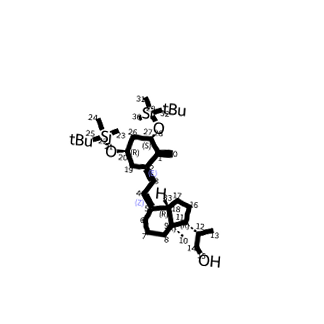 C=C1/C(=C/C=C2/CCC[C@]3(C)[C@@H](C(C)CO)CC[C@@H]23)C[C@@H](O[Si](C)(C)C(C)(C)C)C[C@@H]1O[Si](C)(C)C(C)(C)C